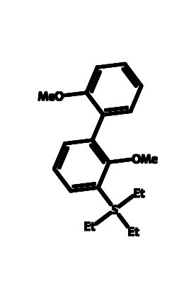 CCS(CC)(CC)c1cccc(-c2ccccc2OC)c1OC